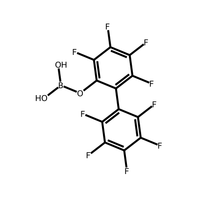 OB(O)Oc1c(F)c(F)c(F)c(F)c1-c1c(F)c(F)c(F)c(F)c1F